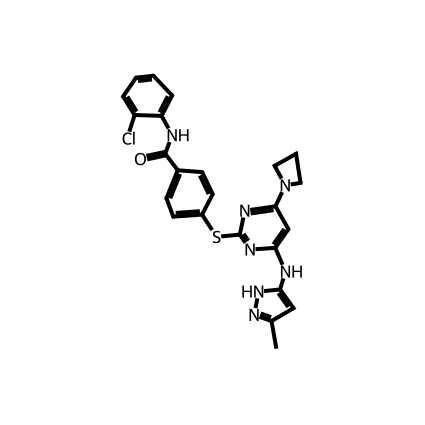 Cc1cc(Nc2cc(N3CCC3)nc(Sc3ccc(C(=O)Nc4ccccc4Cl)cc3)n2)[nH]n1